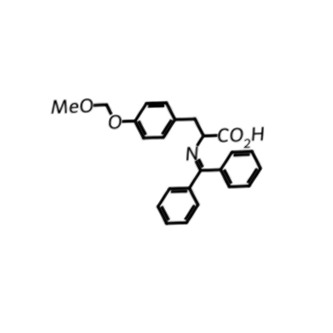 COCOc1ccc(CC(N=C(c2ccccc2)c2ccccc2)C(=O)O)cc1